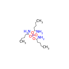 CCCCC(N)OP(=O)(OC(N)CCCC)OC(N)CCCC